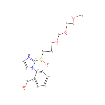 COCCOCOCCC[S+]([O-])c1nccn1-c1ccccc1CO